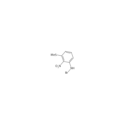 CSc1cccc(NBr)c1[N+](=O)[O-]